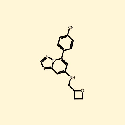 N#Cc1ccc(-c2cc(NCC3CCO3)cc3ncnn23)cc1